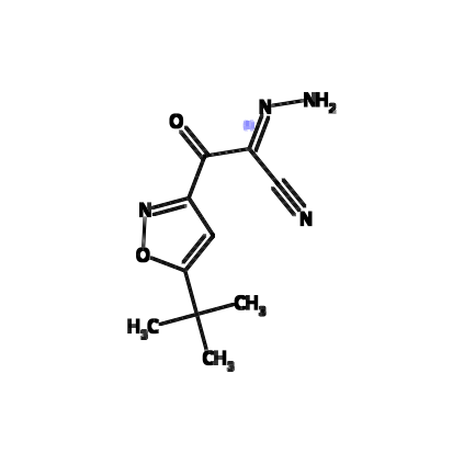 CC(C)(C)c1cc(C(=O)/C(C#N)=N/N)no1